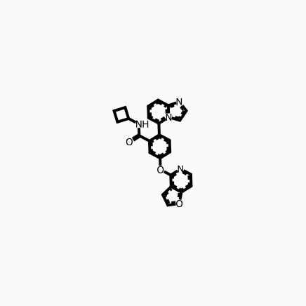 O=C(NC1CCC1)c1cc(Oc2nccc3occc23)ccc1-c1cccc2nccn12